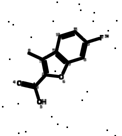 Cc1c(C(=O)O)oc2cc(F)ccc12